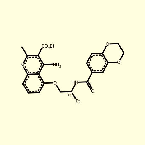 CCOC(=O)c1c(C)nc2cccc(OC[C@H](CC)NC(=O)c3ccc4c(c3)OCCO4)c2c1N